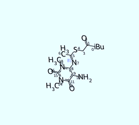 CCC(C)C(=O)CS/C(C)=N/c1c(N)c(=O)n(C)c(=O)n1C